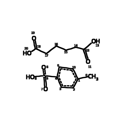 Cc1ccc(S(=O)(=O)O)cc1.O=C(O)CCCCC(=O)O